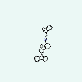 C1=CC2OC3=C(CCCC3/C=C/CCc3coc4ccccc34)C2C=C1n1c2ccccc2c2ccccc21